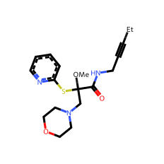 CCC#CCNC(=O)C(CN1CCOCC1)(OC)Sc1ccccn1